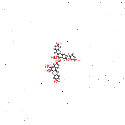 Oc1ccc(Cc2cc3cc(Cc4ccc(O)cc4)c(O)c(OOc4ccc5c(Cc6ccc(O)cc6)cc(O)c(O)c5c4)c3cc2O)cc1